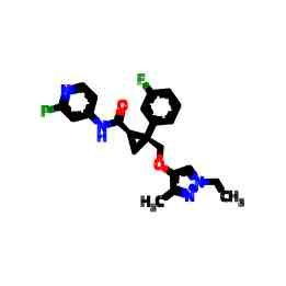 CCn1cc(OC[C@@]2(c3cccc(F)c3)C[C@H]2C(=O)Nc2ccnc(F)c2)c(C)n1